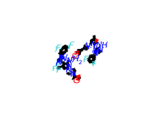 Cc1cc(Nc2ncn(-c3cc(F)cc(F)c3)n2)nc(N2CC(C3COC3)C2)c1.Nc1nc(N2CCN(C3CCOC3)CC2)cc(C(F)(F)F)c1-c1ncn(-c2cc(F)cc(F)c2)n1